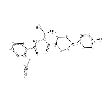 CC(C)[C@@H](NC(=O)c1ccccc1CC#N)C(=O)N1CCC(c2ccc(Cl)cc2)CC1